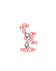 O=C(O)COc1cc(O)c2c(=O)c(O)c(-c3ccc(O)c(O)c3)oc2c1